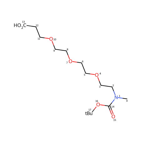 CN(CCOCCOCCOCCC(=O)O)C(=O)OC(C)(C)C